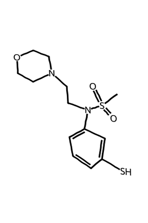 CS(=O)(=O)N(CCN1CCOCC1)c1cccc(S)c1